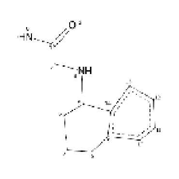 [NH]C(=O)CNC1CCCc2ccccc21